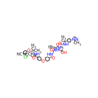 Cc1nccn1-c1ccc([C@H](C)NC(=O)[C@@H]2C[C@@H](O)CN2C(=O)[C@@H](NC(=O)CNC(=O)c2ccc(Oc3ccc(C(=O)N[C@H]4C(C)(C)[C@H](Oc5ccc(C#N)c(Cl)c5)C4(C)C)cc3)cc2)C(C)(C)C)cc1